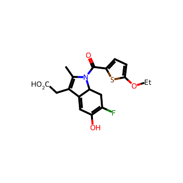 CCOc1ccc(C(=O)N2C(C)=C(CC(=O)O)C3=CC(O)=C(F)CC32)s1